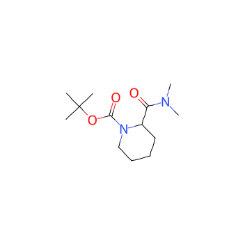 CN(C)C(=O)C1CCCCN1C(=O)OC(C)(C)C